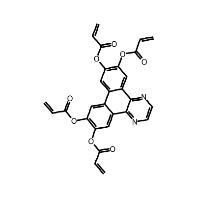 C=CC(=O)Oc1cc2c3cc(OC(=O)C=C)c(OC(=O)C=C)cc3c3nccnc3c2cc1OC(=O)C=C